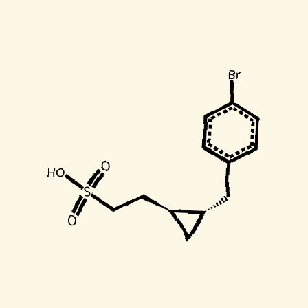 O=S(=O)(O)CC[C@@H]1C[C@H]1Cc1ccc(Br)cc1